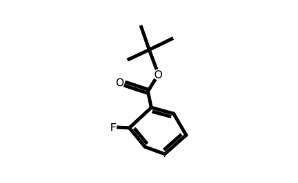 CC(C)(C)OC(=O)c1cc[c]cc1F